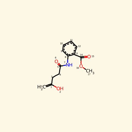 C=C(O)CCC(=O)Nc1ccccc1C(=O)OC